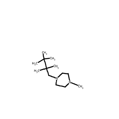 CN1CCN(CC(C)(C)C(C)(C)C)CC1